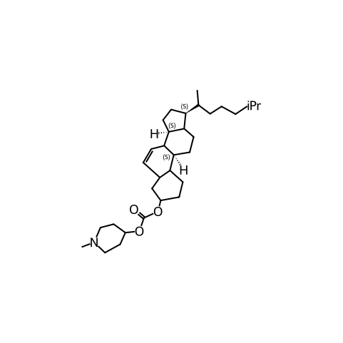 CC(C)CCCC(C)[C@@H]1CC[C@@H]2C3C=CC4CC(OC(=O)OC5CCN(C)CC5)CCC4[C@@H]3CCC21